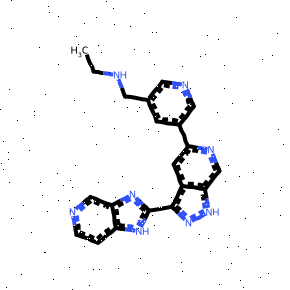 CCNCc1cncc(-c2cc3c(-c4nc5cnccc5[nH]4)n[nH]c3cn2)c1